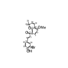 COc1ccc(C(=O)C=Cc2ccc(O)c(Br)c2)c2c1C=CC(C)(C)O2